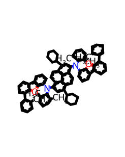 Cc1ccccc1-c1cccc2c1oc1c(N(c3c(C)cccc3C)c3cc(C4CCCCC4)c4ccc5c(N(c6c(C)cccc6C)c6cccc7c6oc6c(-c8ccccc8C)cccc67)cc(C6CCCCC6)c6ccc3c4c65)cccc12